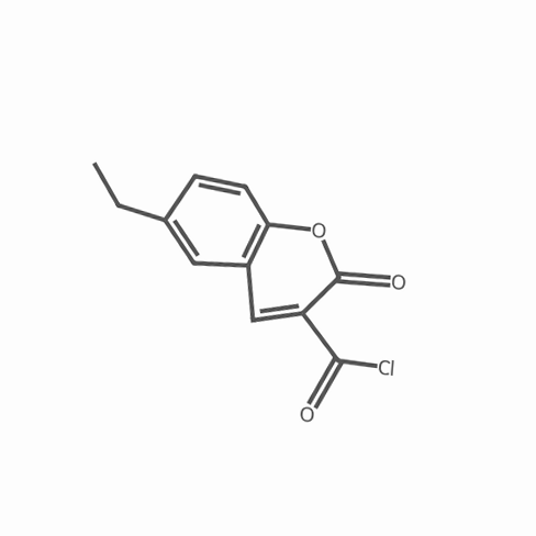 CCc1ccc2oc(=O)c(C(=O)Cl)cc2c1